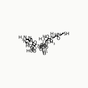 CC(C)(COP(=O)([O-])OP(=O)([O-])OC[C@H]1O[C@@H](n2cnc3c(N)ncnc32)[C@H](O)[C@@H]1OP(=O)([O-])O)[C@@H](O)C(=O)NCCC(=O)NCCS.[Li+].[Li+].[Li+]